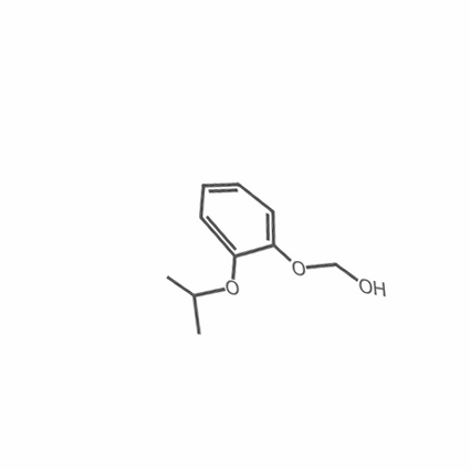 CC(C)Oc1ccccc1OCO